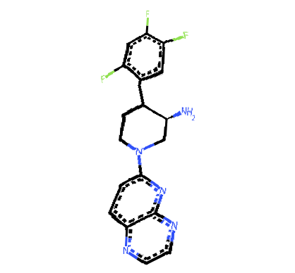 N[C@H]1CN(c2ccc3nccnc3n2)CCC1c1cc(F)c(F)cc1F